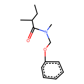 CCC(C)C(=O)N(C)COc1ccccc1